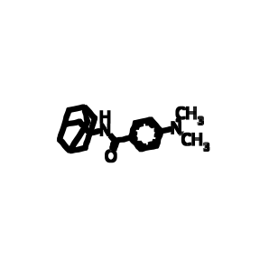 CN(C)c1ccc(C(=O)NC23CC4CC(CC(C4)C2)C3)cc1